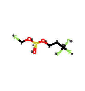 O=S(OCF)OCCC(F)(F)F